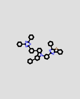 c1ccc(-c2ccc3c(c2)c2c(-c4cccc(-c5nc(-c6ccccc6)nc(-c6ccccc6)n5)c4)cccc2n3-c2cccc(-c3nc(-c4ccccc4)c4sc5ccccc5c4n3)c2)cc1